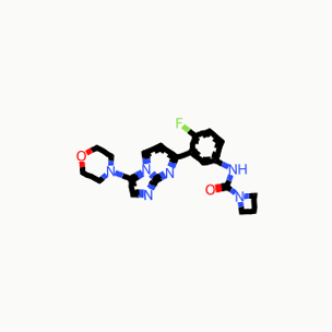 O=C(Nc1ccc(F)c(-c2ccn3c(N4CCOCC4)cnc3n2)c1)N1CCC1